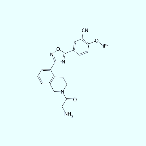 CC(C)Oc1ccc(-c2nc(-c3cccc4c3CCN(C(=O)CN)C4)no2)cc1C#N